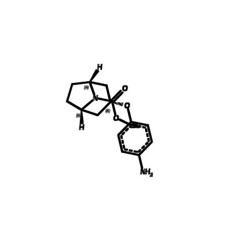 CC(C)(C)OC(=O)N1[C@@H]2CC[C@H]1C[C@@H](Oc1ccc(N)cc1)C2